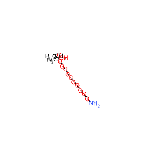 CC(C)(C)C(COCCOCCOCCOCCOCCOCCOCCOCCOCCOCCN)C(=O)O